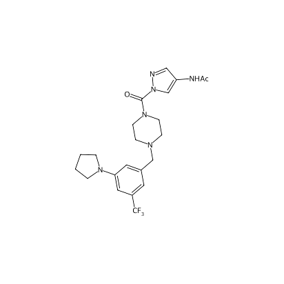 CC(=O)Nc1cnn(C(=O)N2CCN(Cc3cc(N4CCCC4)cc(C(F)(F)F)c3)CC2)c1